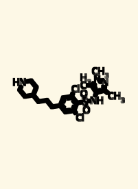 Cc1nn(C)c(C)c1NS(=O)(=O)c1c(Cl)cc(CCCC2CCNCC2)cc1Cl